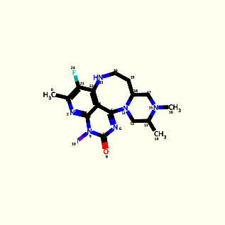 Cc1nc2c3c(nc(=O)n2I)N2CC(C)N(C)CC2CCNc3c1F